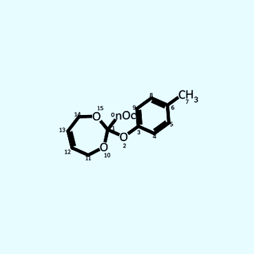 CCCCCCCCC1(Oc2ccc(C)cc2)OCC=CCO1